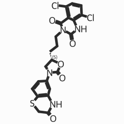 O=C1CSc2ccc(N3C[C@H](CCCn4c(=O)[nH]c5c(Cl)ccc(Cl)c5c4=O)OC3=O)cc2N1